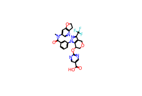 CN(C(=O)c1cccc(-n2nc(C(F)(F)F)c3c2C(Oc2ncc(C(=O)O)cn2)COC3)c1)c1cnc2c(c1)OCC2